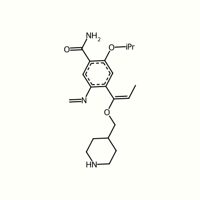 C=Nc1cc(C(N)=O)c(OC(C)C)cc1/C(=C\C)OCC1CCNCC1